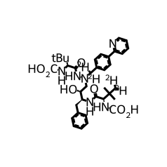 [2H]C([2H])C(C)(C)[C@H](NC(=O)O)C(=O)N[C@@H](Cc1ccccc1)[C@@H](O)CN(NC(=O)[C@@H](NC(=O)O)C(C)(C)C)C([2H])([2H])c1ccc(-c2ccccn2)cc1